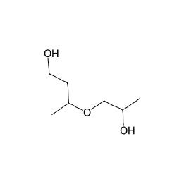 CC(O)COC(C)CCO